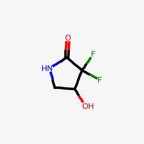 O=C1NCC(O)C1(F)F